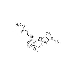 COC(=O)CCNC(=O)[C@@H]1OP(=O)(NC(C)C(=O)OC)OCC1(C)C